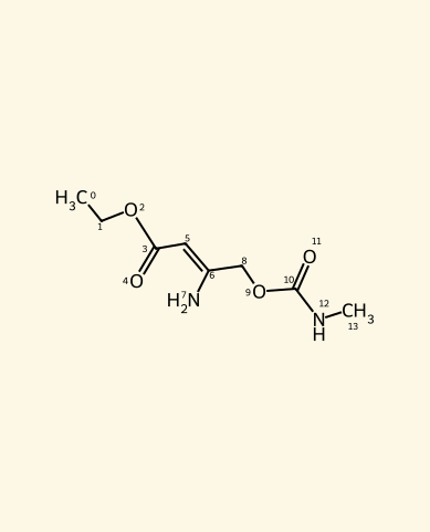 CCOC(=O)/C=C(\N)COC(=O)NC